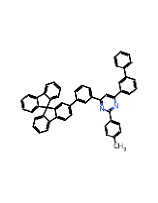 Cc1ccc(-c2nc(-c3cccc(-c4ccccc4)c3)cc(-c3cccc(-c4ccc5c(c4)C4(c6ccccc6-c6ccccc64)c4ccccc4-5)c3)n2)cc1